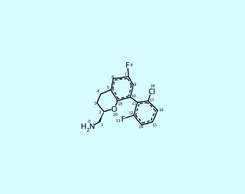 NC[C@H]1CCc2cc(F)cc(-c3c(F)cccc3Cl)c2O1